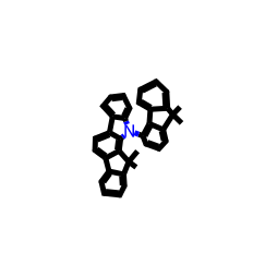 CC1(C)c2ccccc2-c2c(-n3c4ccccc4c4ccc5c(c43)C(C)(C)c3ccccc3-5)cccc21